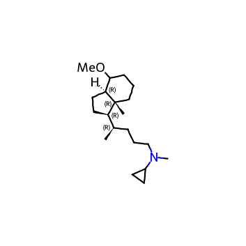 COC1CCC[C@]2(C)[C@@H]([C@H](C)CCCN(C)C3CC3)CC[C@@H]12